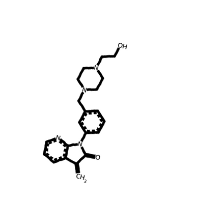 C=C1C(=O)N(c2cccc(CN3CCN(CCO)CC3)c2)c2ncccc21